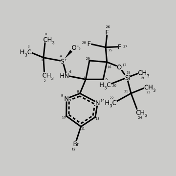 CC(C)(C)[S@@+]([O-])NC1(c2ncc(Br)cn2)CC(O[Si](C)(C)C(C)(C)C)(C(F)(F)F)C1